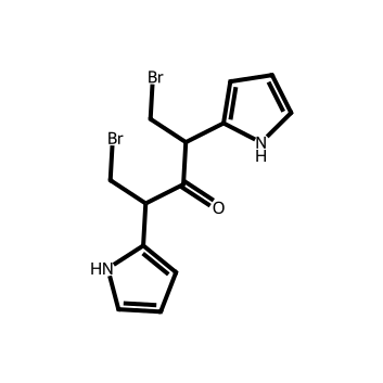 O=C(C(CBr)c1ccc[nH]1)C(CBr)c1ccc[nH]1